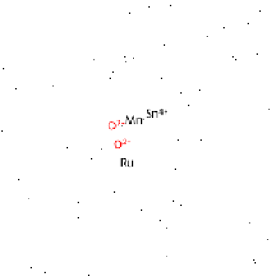 [Mn].[O-2].[O-2].[Ru].[Sn+4]